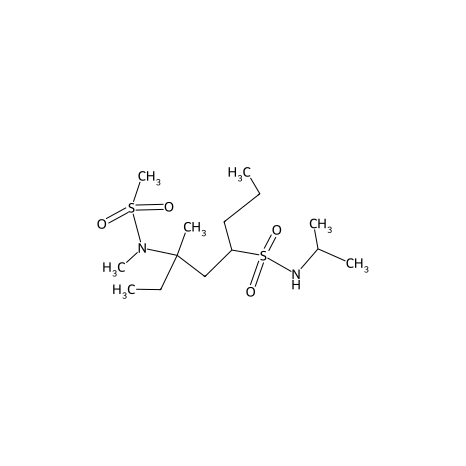 CCCC(CC(C)(CC)N(C)S(C)(=O)=O)S(=O)(=O)NC(C)C